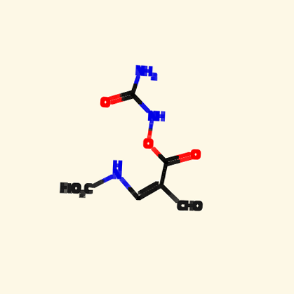 CCOC(=O)NC=C(C=O)C(=O)ONC(N)=O